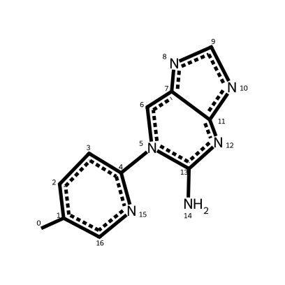 Cc1ccc(-n2cc3ncnc-3nc2N)nc1